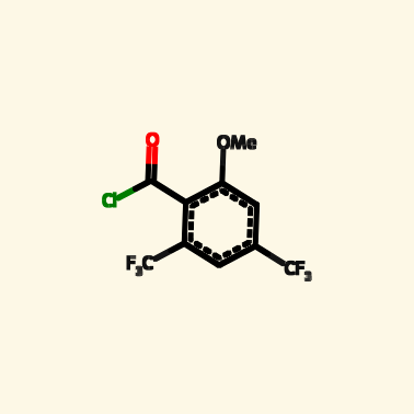 COc1cc(C(F)(F)F)cc(C(F)(F)F)c1C(=O)Cl